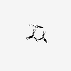 CCl.O=[PH]([O-])O[PH](=O)[O-].[K+].[K+]